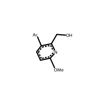 COc1ccc(C(C)=O)c(CO)n1